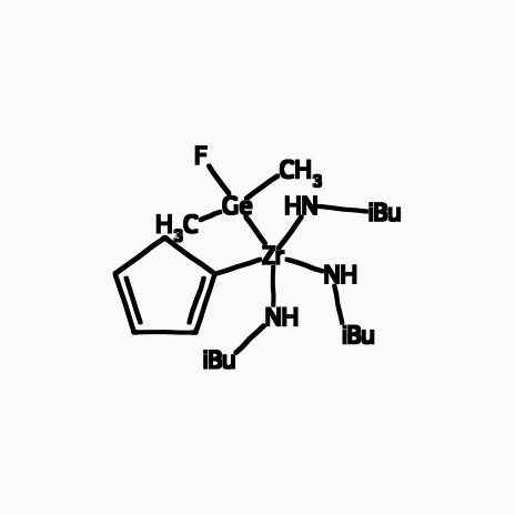 CCC(C)[NH][Zr]([NH]C(C)CC)([NH]C(C)CC)([C]1=CC=CC1)[Ge]([CH3])([CH3])[F]